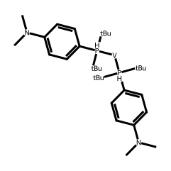 CN(C)c1ccc([PH]([V][PH](c2ccc(N(C)C)cc2)(C(C)(C)C)C(C)(C)C)(C(C)(C)C)C(C)(C)C)cc1